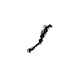 CC[C@@H](C)COC(=O)c1ccc(OC(=O)c2ccc(-c3ccc(OCCCCCCOCC4COC4C)cc3)cc2)c(F)c1